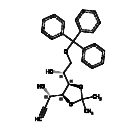 C#C[C@H](O)[C@@H]1OC(C)(C)O[C@@H]1[C@H](O)COC(c1ccccc1)(c1ccccc1)c1ccccc1